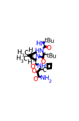 CC(C)(C)NC(=O)N[C@H](C(=O)N1C[C@H]2[C@@H]([C@H]1C(=O)N[C@@H](CC1CCC1)C(=O)C(N)=O)C2(C)C)C(C)(C)C